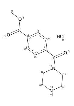 COC(=O)c1ccc(C(=O)N2CCNCC2)cc1.Cl